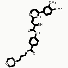 COc1ccc(C2=CC=N/C(=C/C(=N)C(=O)Nc3ccc(C(=O)OCCCN4CCOCC4)cc3)N2)cc1OC